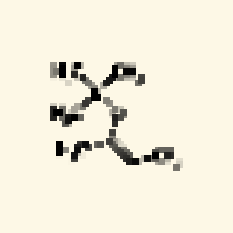 CC(=CC(F)(F)F)O[Si](C)(C)C